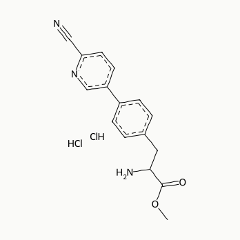 COC(=O)C(N)Cc1ccc(-c2ccc(C#N)nc2)cc1.Cl.Cl